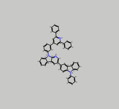 c1ccc(-c2cc(-c3cccc(-n4c5ccccc5c5cc(-c6ccc7c(c6)c6ccccc6n7-c6ccccc6)cnc54)c3)cc(-c3ccccc3)n2)cc1